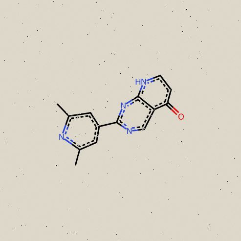 Cc1cc(-c2ncc3c(=O)cc[nH]c3n2)cc(C)n1